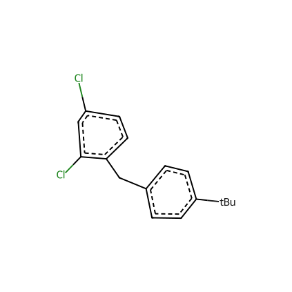 CC(C)(C)c1ccc(Cc2ccc(Cl)cc2Cl)cc1